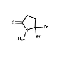 CC(C)C1(C(C)C)CCC(=O)N1C